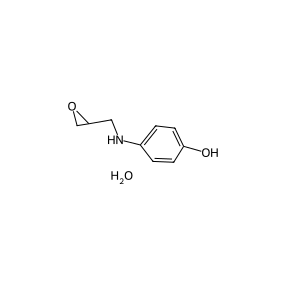 O.Oc1ccc(NCC2CO2)cc1